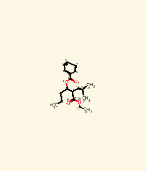 CCCC(OC(=O)c1ccccc1)C(CC(C)C)C(=O)OCC